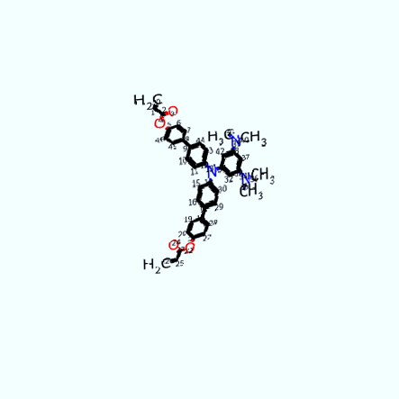 C=CC(=O)Oc1ccc(-c2ccc(N(c3ccc(-c4ccc(OC(=O)C=C)cc4)cc3)c3cc(N(C)C)cc(N(C)C)c3)cc2)cc1